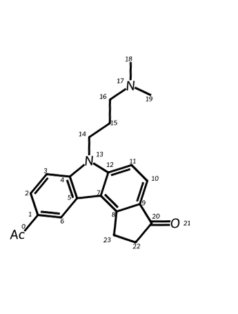 CC(=O)c1ccc2c(c1)c1c3c(ccc1n2CCCN(C)C)C(=O)CC3